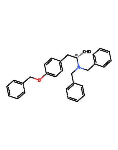 O=C[C@@H](Cc1ccc(OCc2ccccc2)cc1)N(Cc1ccccc1)Cc1ccccc1